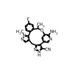 CC1Oc2cc(cnc2N)-c2c(n[nH]c2C#N)Cc2cnn(C)c2-c2ccc(F)cc21